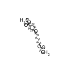 C=CC(=O)OCCCCCCOc1ccc(C(=O)OC)cc1